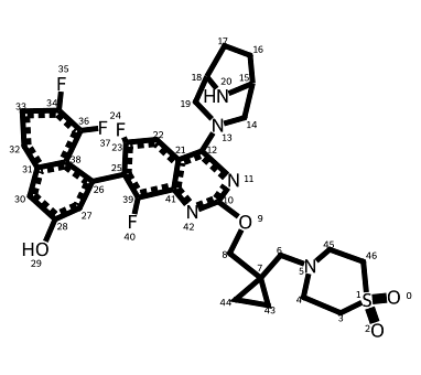 O=S1(=O)CCN(CC2(COc3nc(N4CC5CCC(C4)N5)c4cc(F)c(-c5cc(O)cc6ccc(F)c(F)c56)c(F)c4n3)CC2)CC1